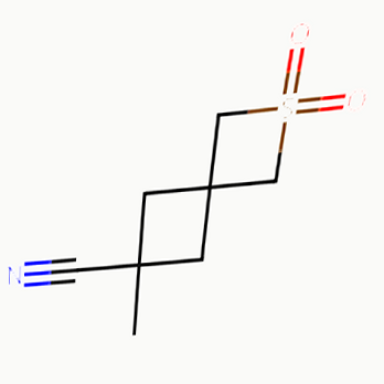 CC1(C#N)CC2(C1)CS(=O)(=O)C2